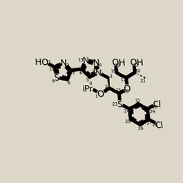 CC(C)O[C@@H](Cn1cc(-c2csc(O)n2)nn1)C(OC(CO)[C@@H](C)O)Sc1ccc(Cl)c(Cl)c1